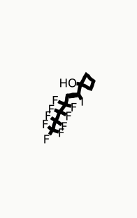 OC1(C(I)=CC(F)(F)C(F)(F)C(F)(F)C(F)(F)F)CCC1